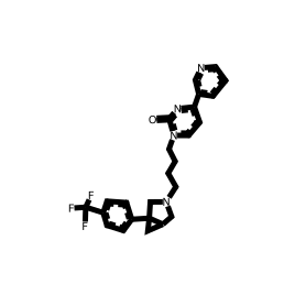 O=c1nc(-c2cccnc2)ccn1CCCCN1CC2CC2(c2ccc(C(F)(F)F)cc2)C1